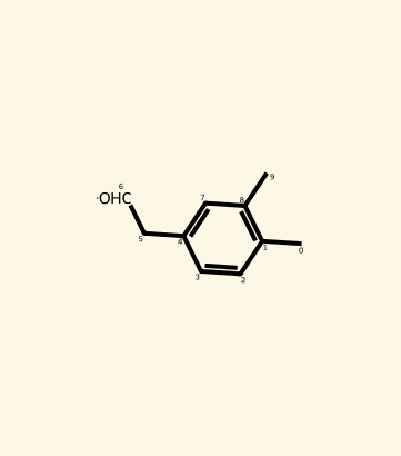 Cc1ccc(C[C]=O)cc1C